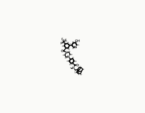 CN(CC12CC3CC(CC(C3)C1)C2)C(=O)c1ccc(N2CCN(C(=O)c3cc(-c4cncc(O)c4)cc(C(F)(F)F)c3)CC2)cc1